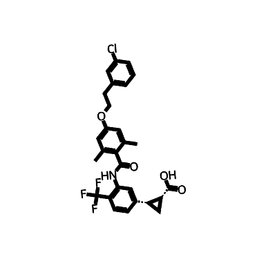 Cc1cc(OCCc2cccc(Cl)c2)cc(C)c1C(=O)Nc1cc([C@H]2C[C@H]2C(=O)O)ccc1C(F)(F)F